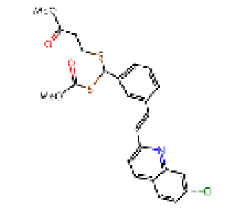 COC(=O)CCSC(SC(=O)OC)c1cccc(C=Cc2ccc3ccc(Cl)cc3n2)c1